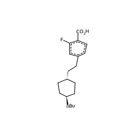 CCCC[C@H]1CC[C@H](CCc2ccc(C(=O)O)c(F)c2)CC1